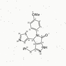 COc1ccc(N2C(=O)c3[nH]nc(CC(C)C)c3C2c2cncs2)cc1